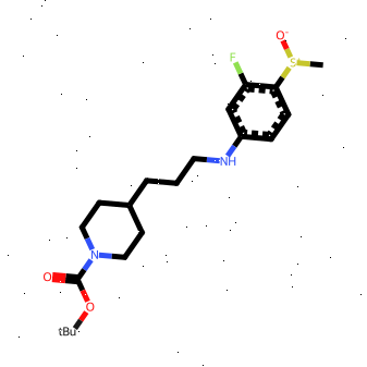 C[S+]([O-])c1ccc(NCCCC2CCN(C(=O)OC(C)(C)C)CC2)cc1F